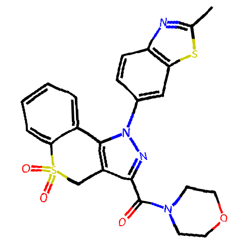 Cc1nc2ccc(-n3nc(C(=O)N4CCOCC4)c4c3-c3ccccc3S(=O)(=O)C4)cc2s1